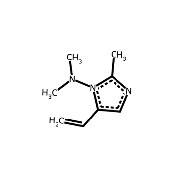 C=Cc1cnc(C)n1N(C)C